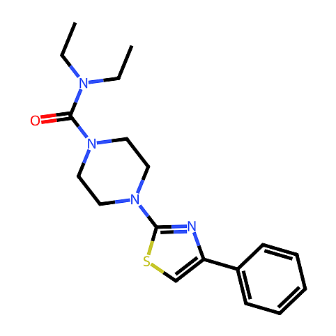 CCN(CC)C(=O)N1CCN(c2nc(-c3ccccc3)cs2)CC1